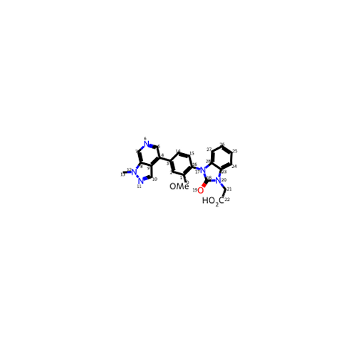 COc1cc(-c2cncc3c2cnn3C)ccc1-n1c(=O)n(CC(=O)O)c2ccccc21